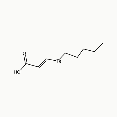 CCCCC[Te]C=CC(=O)O